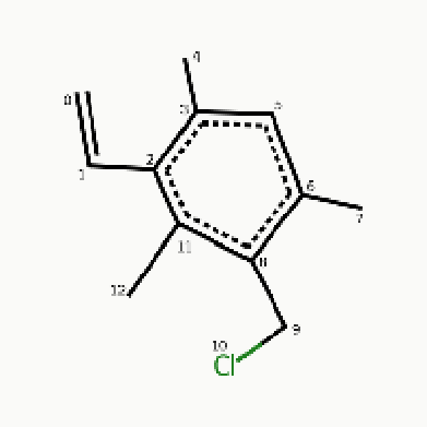 C=Cc1c(C)cc(C)c(CCl)c1C